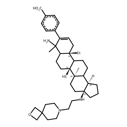 CC[C@]12CC=C(c3ccc(C(=O)O)cc3)C(C)(N)C1CC[C@]1(S)C2CCC2[C@H]3CCC[C@]3(NCCN3CCC4(CC3)COC4)CC[C@]21C